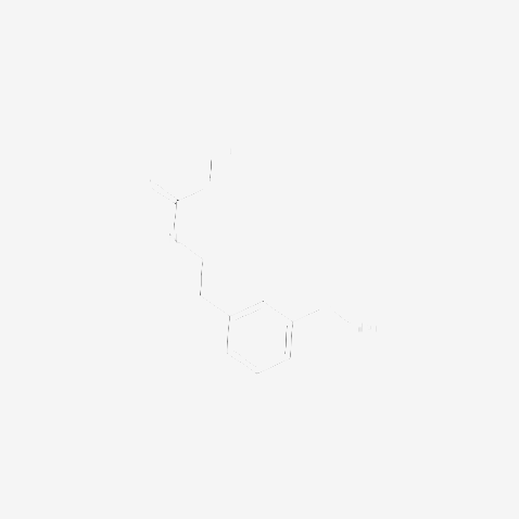 CCCCOc1cccc(CCNC(=O)OC(C)(C)C)c1